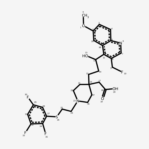 COc1ccc2ncc(CF)c(C(O)CCC3(CC(=O)O)CCN(CCSc4cc(F)cc(F)c4F)CC3)c2c1